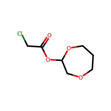 O=C(CCl)OC1COCCCO1